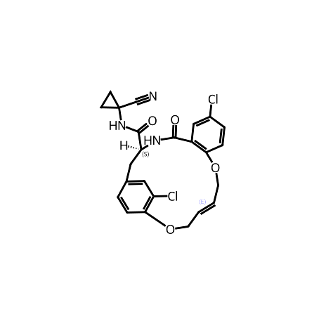 N#CC1(NC(=O)[C@@H]2Cc3ccc(c(Cl)c3)OC/C=C/COc3ccc(Cl)cc3C(=O)N2)CC1